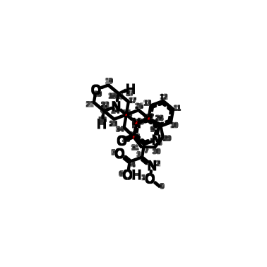 CON=C(C(=O)O)c1nc2ccccc2n(C2C[C@H]3COC[C@@H](C2)N3C2CC3CCCCC(C3)C2)c1=O